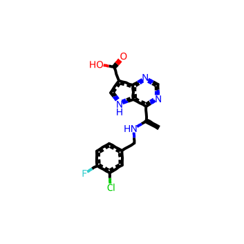 C=C(NCc1ccc(F)c(Cl)c1)c1ncnc2c(C(=O)O)c[nH]c12